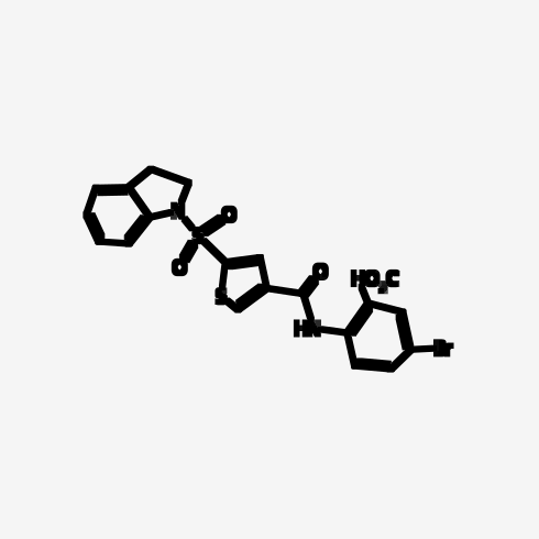 O=C(Nc1ccc(Br)cc1C(=O)O)c1csc(S(=O)(=O)N2CCc3ccccc32)c1